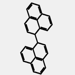 C1=CC(C2C=Cc3cccc4cccc2c34)c2cccc3cccc1c23